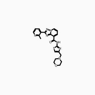 Cc1ncccc1-c1nc2c(C(=O)Nc3nc(CN4CCOCC4)cs3)cccn2n1